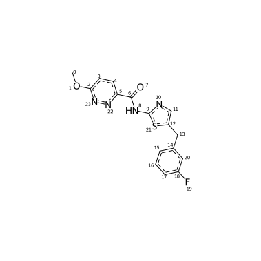 COc1ccc(C(=O)Nc2ncc(Cc3cccc(F)c3)s2)nn1